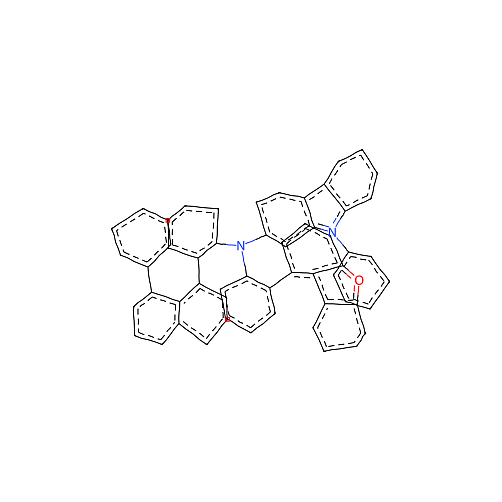 c1ccc(-c2cccc3cccc(-c4ccccc4N(c4ccc5c6ccccc6n(-c6ccccc6)c5c4)c4ccccc4-c4cccc5oc6ccccc6c45)c23)cc1